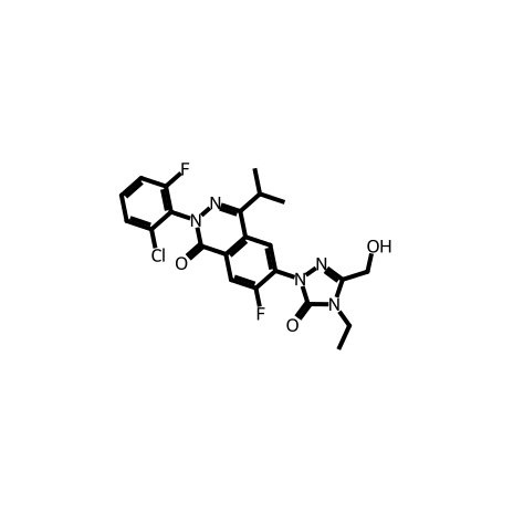 CCn1c(CO)nn(-c2cc3c(C(C)C)nn(-c4c(F)cccc4Cl)c(=O)c3cc2F)c1=O